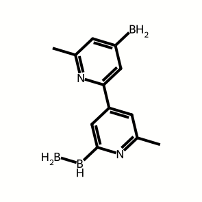 BBc1cc(-c2cc(B)cc(C)n2)cc(C)n1